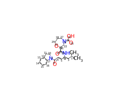 CC(C)C[C@@H](C=CC(=O)N1CCc2ccccc21)NC(=O)[C@@H]1CN(C(=O)O)CCCO1